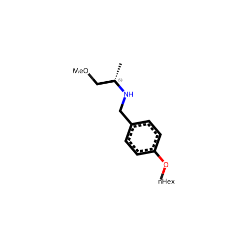 CCCCCCOc1ccc(CN[C@@H](C)COC)cc1